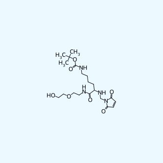 CC(C)(C)OC(=O)NCCCCC(NCN1C(=O)C=CC1=O)C(=O)NCCOCCO